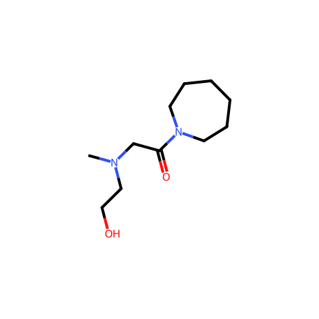 CN(CCO)CC(=O)N1CCCCCC1